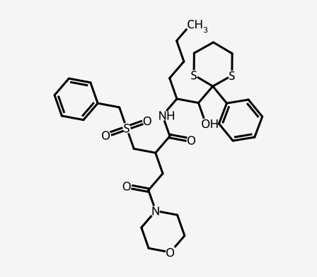 CCCCC(NC(=O)C(CC(=O)N1CCOCC1)CS(=O)(=O)Cc1ccccc1)C(O)C1(c2ccccc2)SCCCS1